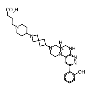 O=C(O)CCCN1CCC(N2CC3(CC(N4CCN5c6cc(-c7ccccc7O)nnc6NC[C@H]5C4)C3)C2)CC1